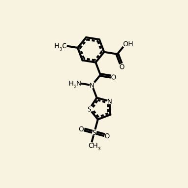 Cc1ccc(C(=O)O)c(C(=O)N(N)c2ncc(S(C)(=O)=O)s2)c1